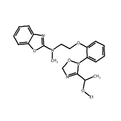 CCOC(C)C1=NCON1c1ccccc1OCCN(C)c1nc2ccccc2o1